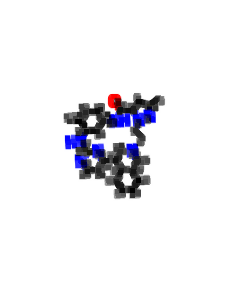 CCn1nc(C)cc1C(=O)Nc1ccc(C)c(Nc2nccc(-c3cncc4ccccc34)n2)c1